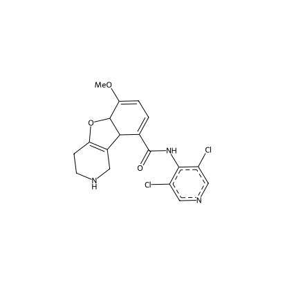 COC1=CC=C(C(=O)Nc2c(Cl)cncc2Cl)C2C3=C(CCNC3)OC12